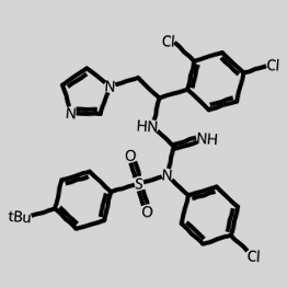 CC(C)(C)c1ccc(S(=O)(=O)N(C(=N)NC(Cn2ccnc2)c2ccc(Cl)cc2Cl)c2ccc(Cl)cc2)cc1